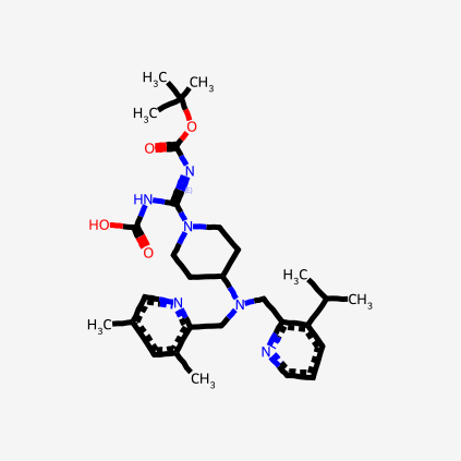 Cc1cnc(CN(Cc2ncccc2C(C)C)C2CCN(/C(=N/C(=O)OC(C)(C)C)NC(=O)O)CC2)c(C)c1